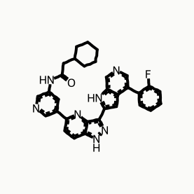 O=C(CC1CCCCC1)Nc1cncc(-c2ccc3[nH]nc(-c4cc5c(-c6ccccc6F)cncc5[nH]4)c3n2)c1